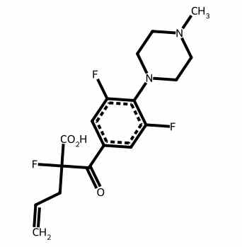 C=CCC(F)(C(=O)O)C(=O)c1cc(F)c(N2CCN(C)CC2)c(F)c1